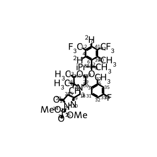 [2H]c1c(C(F)(F)F)c([2H])c([C@](C)(O[C@H]2OC(C)C(C)(C)N(CC3=NN(P(=O)(OC)OC)C(=O)C3)[C@H]2c2ccc(F)cc2C)C(C)C)c(C)c1C(F)(F)F